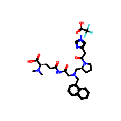 CN(C)[C@@H](CCC(=O)NC(=O)CN(Cc1cccc2ccccc12)C[C@@H]1CCCN1C(=O)Cc1c[nH]cn1)C(=O)O.O=C(O)C(F)(F)F